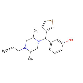 C=CCN1CC(C)N(C(c2ccsc2)c2cccc(O)c2)CC1C